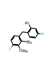 COc1c(F)ccc(Cc2ccc(F)cc2C(C)C)c1C(C)(C)C